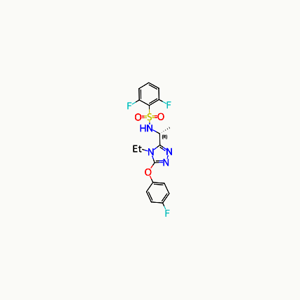 CCn1c(Oc2ccc(F)cc2)nnc1[C@@H](C)NS(=O)(=O)c1c(F)cccc1F